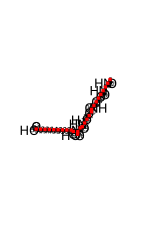 CC(=O)NCCCNC(=O)COCCOCCNC(=O)COCCOCCNC(=O)CC[C@H](NC(=O)CCCCCCCCCCCCCCCCC(=O)O)C(=O)O